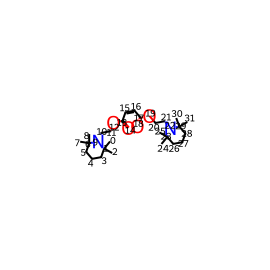 CC1(C)CCCC(C)(C)N1CCOC(=O)/C=C\C(=O)OCCN1C(C)(C)CCCC1(C)C